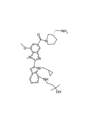 COc1cc(C(=O)N2CCC[C@@H](CN)C2)cc2nc(-c3cc4cccc(NCCC(C)(C)O)c4n3CC3CC3)n(C)c12